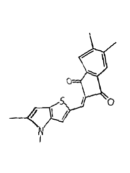 Cc1cc2c(cc1C)C(=O)C(=Cc1cc3c(cc(C)n3C)s1)C2=O